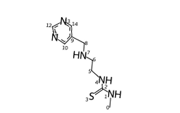 CNC(=S)NCCNCc1cncnc1